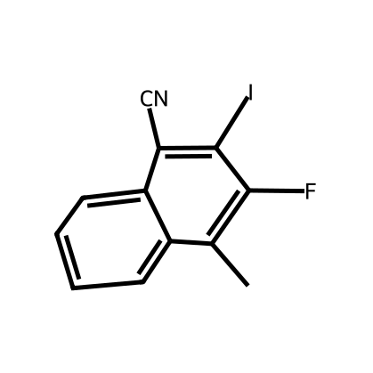 Cc1c(F)c(I)c(C#N)c2ccccc12